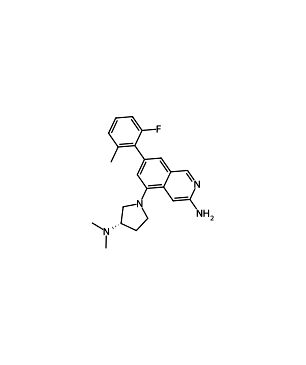 Cc1cccc(F)c1-c1cc(N2CC[C@H](N(C)C)C2)c2cc(N)ncc2c1